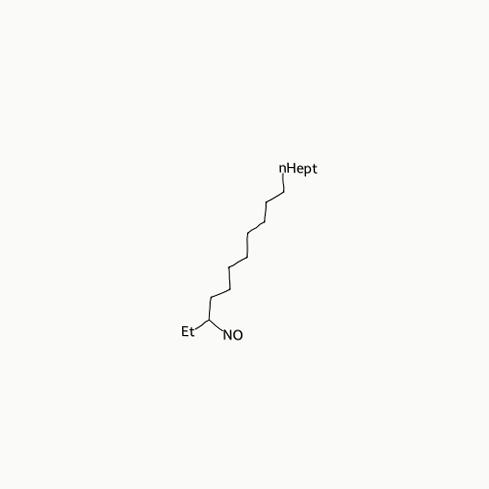 CCCCCCCCCCCCCCCC(CC)N=O